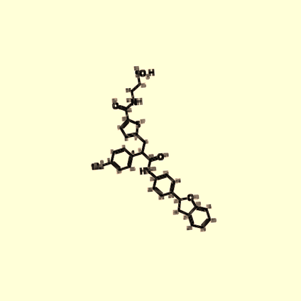 CC(C)(C)c1ccc(C(Cc2ccc(C(=O)NCCS(=O)(=O)O)s2)C(=O)Nc2ccc(C3Cc4ccccc4O3)cc2)cc1